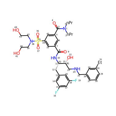 CCCN(CCC)C(=O)c1cc(C(=O)N[C@@H](Cc2cc(F)cc(F)c2)[C@H](O)CNCc2cccc(CC)c2)cc(S(=O)(=O)N(CCO)CCO)c1